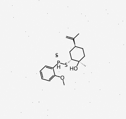 C=C(C)[C@H]1CC[C@@](C)(O)[C@H](S[PH](=S)c2ccccc2OC)C1